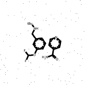 CC(C)(C)NCc1cccc(OC(F)F)c1.NC(=O)c1ccncc1